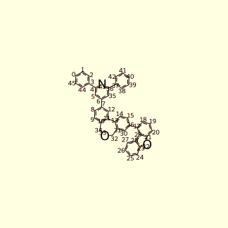 c1ccc(-c2cc(-c3ccc4c(c3)-c3ccc(-c5cccc6oc7ccccc7c56)cc3COC4)cc(-c3ccccc3)n2)cc1